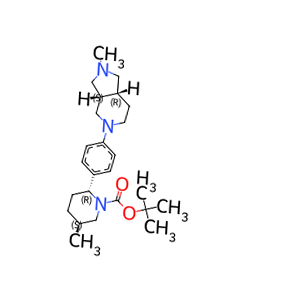 C[C@H]1CC[C@H](c2ccc(N3CC[C@H]4CN(C)C[C@H]4C3)cc2)N(C(=O)OC(C)(C)C)C1